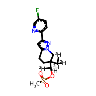 [2H]C([2H])([2H])C1(C([2H])([2H])OS(C)(=O)=O)CCc2cc(-c3ccc(F)cn3)nn2C1